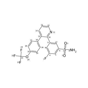 NS(=O)(=O)c1cc(F)cc(-c2ncccc2-c2ccc(OC(F)(F)F)cc2)c1